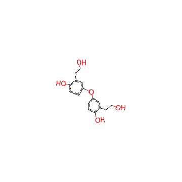 OCCc1cc(Oc2ccc(O)c(CCO)c2)ccc1O